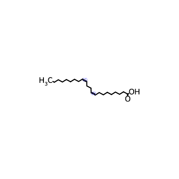 CCCCCCCC/C=C\CC/C=C\CCCCCCCC(=O)O